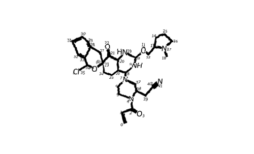 C=CC(=O)N1CCN(C2NC(OCC3CCCN3C)NC3C(=O)[C@@]4(CCC32)Cc2ccccc2C(Cl)O4)CC1CC#N